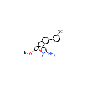 [C-]#[N+]c1cccc(-c2ccc3c(c2)C2(C=C(N)N(C)O2)C2(CCC(OCC)CC2)C3)c1